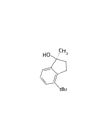 CC(C)(C)c1cccc2c1CC[C@]2(C)O